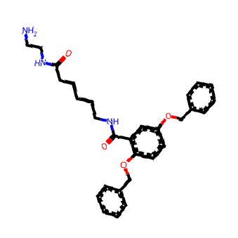 NCCNC(=O)CCCCCNC(=O)c1cc(OCc2ccccc2)ccc1OCc1ccccc1